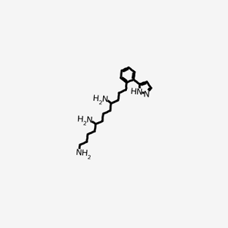 NCCCCC(N)CCCC(N)CCCc1ccccc1-c1ccn[nH]1